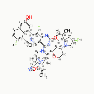 C#Cc1c(F)ccc2cc(O)cc(-c3ncc4c(N5C[C@H]6CC(C#N)[C@@H](C5)N6C(=O)C=C)nc(OC[C@]5(C(C)C)C[C@@H](F)CN5C5CCOCC5)nc4c3F)c12